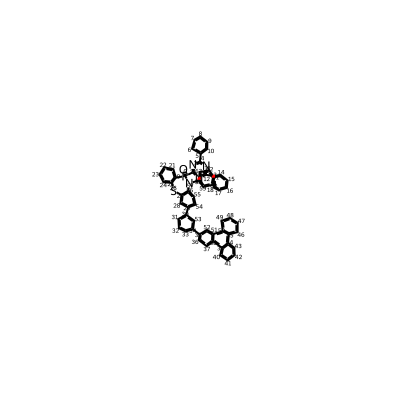 O=P1(c2nc(-c3ccccc3)nc(-c3ccccc3)n2)c2ccccc2Sc2cc(-c3cccc(-c4ccc5c6ccccc6c6ccccc6c5c4)c3)ccc2N1c1ccccc1